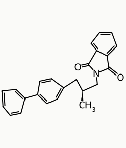 C[C@@H](Cc1ccc(-c2ccccc2)cc1)CN1C(=O)c2ccccc2C1=O